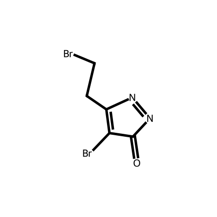 O=C1N=NC(CCBr)=C1Br